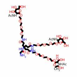 CC(=O)NC(C(O)O)C(OCCOCCOCCOCCNC(=O)CCC(CCC(=O)NCCOCCOCCOCCOC1OC(CO)C(O)C(O)C1NC(C)=O)(CCC(=O)NCCOCCOCCOCCOC1OC(CO)C(O)C(O)C1NC(C)=O)NC(=O)CN)OC(C)CO